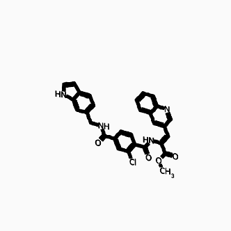 COC(=O)C(=Cc1cnc2ccccc2c1)NC(=O)c1ccc(C(=O)NCc2ccc3cc[nH]c3c2)cc1Cl